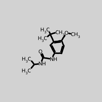 COc1ccc(NC(=O)NC(C)C)cc1C(C)(C)C